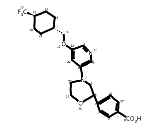 O=C(O)c1ccc(C2CN(c3cncc(OC[C@H]4CC[C@H](C(F)(F)F)CC4)c3)CCO2)cc1